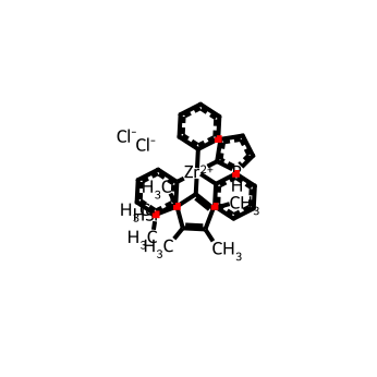 CC1=C(C)C(C)([SiH](C)C)[C]([Zr+2]([c]2ccccc2)([c]2ccccc2)([c]2ccccc2)[c]2ccc[pH]2)=C1C.[Cl-].[Cl-]